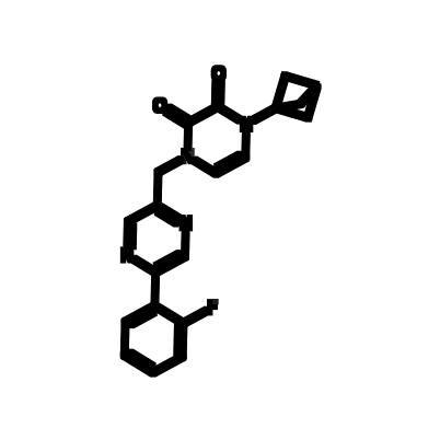 O=c1c(=O)n(C23CC(C2)C3)ccn1Cc1cnc(-c2ccccc2F)cn1